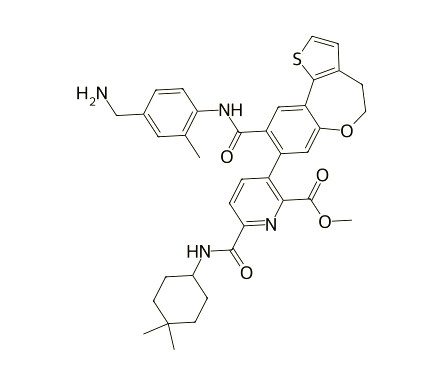 COC(=O)c1nc(C(=O)NC2CCC(C)(C)CC2)ccc1-c1cc2c(cc1C(=O)Nc1ccc(CN)cc1C)-c1sccc1CCO2